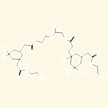 CC(=O)OCCOC(=O)CC1CC(C)(C)CC(C)(CCC(=O)OCC(C)OCCOC(=O)CC2CC(C)(C)CC(C)(CC(=O)OCCOC(C)=O)C2)C1